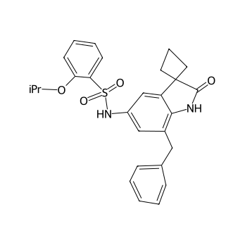 CC(C)Oc1ccccc1S(=O)(=O)Nc1cc(Cc2ccccc2)c2c(c1)C1(CCC1)C(=O)N2